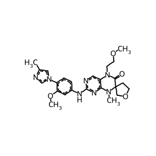 COCCN1C(=O)C2(CCOC2)N(C)c2nc(Nc3ccc(-n4cnc(C)c4)c(OC)c3)ncc21